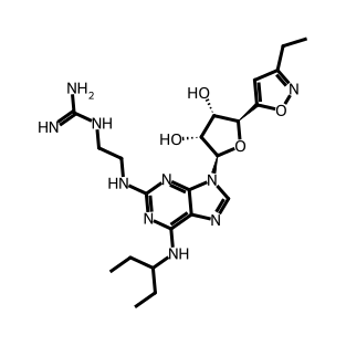 CCc1cc([C@H]2O[C@@H](n3cnc4c(NC(CC)CC)nc(NCCNC(=N)N)nc43)[C@H](O)[C@@H]2O)on1